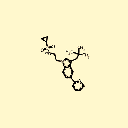 CC(C)(C)Cc1cn(CCNS(=O)(=O)C2CC2)c2ccc(-c3ccccn3)cc12